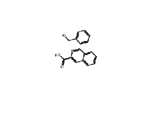 O=C(O)c1cc2ccccc2cn1.[O]Cc1ccccc1